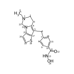 CN1CCc2c(Cc3ccc(C(=O)NO)cc3)c3sccc3n2C1